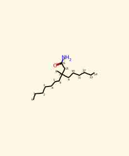 CCCCCCCC(C)(CCCCCC)CC(N)=O